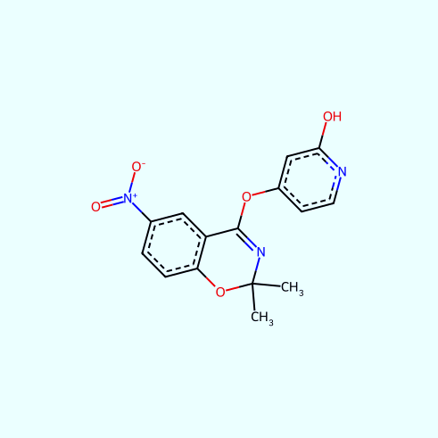 CC1(C)N=C(Oc2ccnc(O)c2)c2cc([N+](=O)[O-])ccc2O1